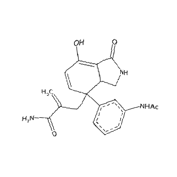 C=C(CC1(c2cccc(NC(C)=O)c2)C=CC(O)=C2C(=O)NCC21)C(N)=O